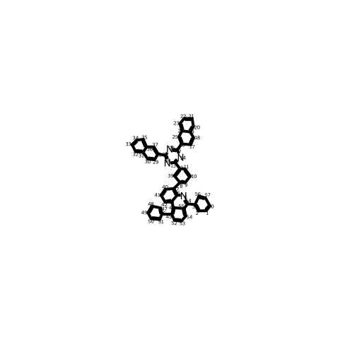 c1ccc(-c2nc3c(-c4cccc(-c5nc(-c6ccc7ccccc7c6)nc(-c6ccc7ccccc7c6)n5)c4)cccc3c3c(-c4ccccc4)cccc23)cc1